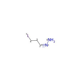 N/N=C\CCI